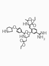 CCOC(=O)C[C@H](COc1cc(C(=N)N)ccc1/C=C(/NC(C)=O)C(=O)OCC)NC(=O)c1ccc(OC2CCNCC2)cc1